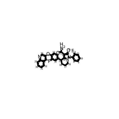 NC(=O)c1c2n(n(-c3ccccc3F)c1=O)CCCC2c1ccc(Oc2cnc3ccccc3c2)c(F)c1